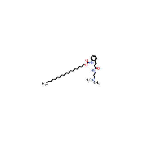 CCCCCCCCCCCCCCCCCCOC(=O)Nc1ccccc1CCC(=O)NCCCN(C)C